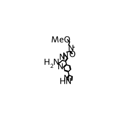 COCCN(C)C(=O)Cn1cc2c(n1)c(N)nc1cc(-c3cc[nH]n3)ccc12